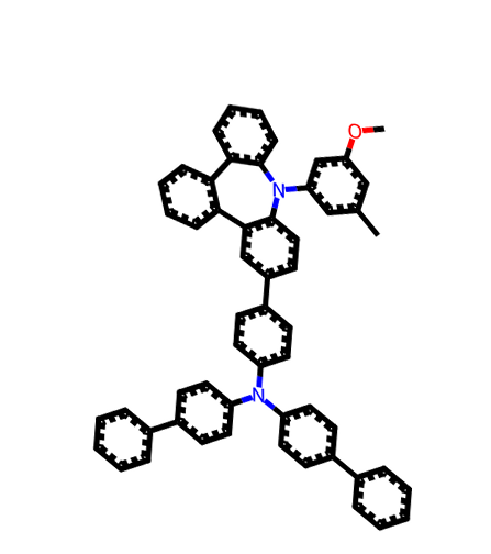 COc1cc(C)cc(N2c3ccccc3-c3ccccc3-c3cc(-c4ccc(N(c5ccc(-c6ccccc6)cc5)c5ccc(-c6ccccc6)cc5)cc4)ccc32)c1